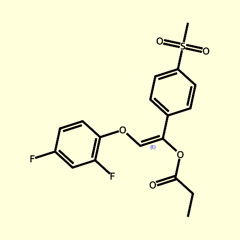 CCC(=O)O/C(=C/Oc1ccc(F)cc1F)c1ccc(S(C)(=O)=O)cc1